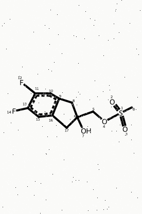 CS(=O)(=O)OCC1(O)Cc2cc(F)c(F)cc2C1